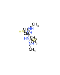 CCCNCC(NCCNC(CNCCC)C(C)(C)S)C(C)(C)S